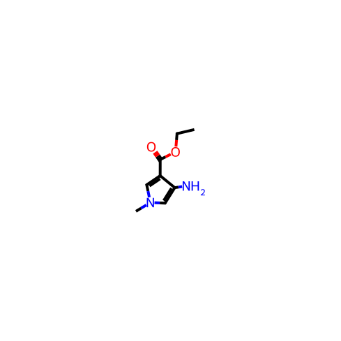 CCOC(=O)c1cn(C)cc1N